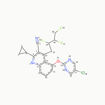 N#Cc1c(C2CC2)nc2cccc(Oc3ncc(Cl)cn3)c2c1CC(F)C(F)CF